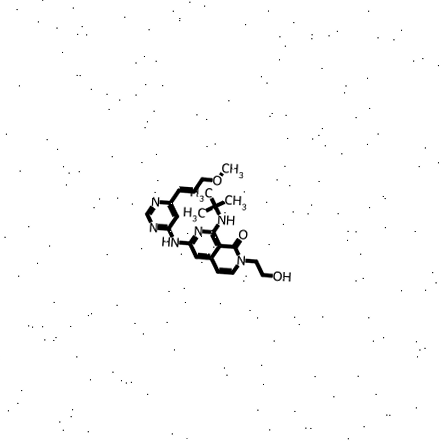 COCC=Cc1cc(Nc2cc3ccn(CCO)c(=O)c3c(NC(C)(C)C)n2)ncn1